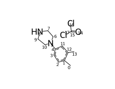 Cc1ccc(N2CCNCC2)cc1C.O=C(Cl)Cl